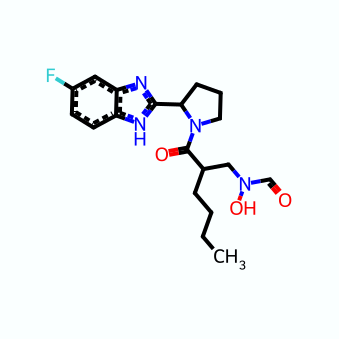 CCCCC(CN(O)C=O)C(=O)N1CCCC1c1nc2cc(F)ccc2[nH]1